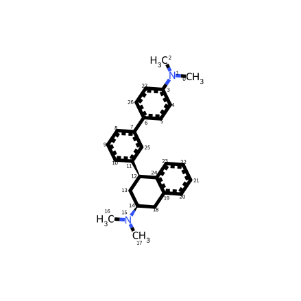 CN(C)c1ccc(-c2cccc([C@@H]3C[C@H](N(C)C)Cc4ccccc43)c2)cc1